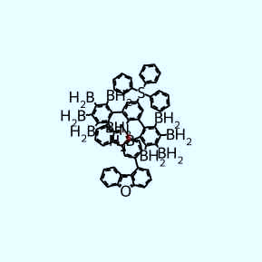 Bc1c(B)c(B)c(-c2cc(S(c3ccccc3)(c3ccccc3)c3ccccc3)cc(-c3c(B)c(B)c(B)c(B)c3B)c2-n2c3ccccc3c3cc(-c4cccc5oc6ccccc6c45)ccc32)c(B)c1B